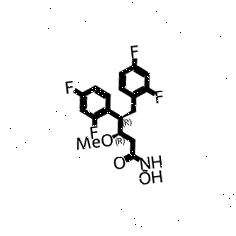 CO[C@H](CC(=O)NO)[C@H](Cc1ccc(F)cc1F)c1ccc(F)cc1F